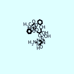 C#C[C@H](O)C(COP(=S)(N[C@@H](C)C(=O)OC1CCCCC1)Oc1ccccc1)O[C@H](CO)n1cnc2c(=O)[nH]c(N)nc21